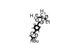 CCCCC1COC(c2ccc(C(=O)OC(C)C(C)OC(=O)CC)cc2)OC1